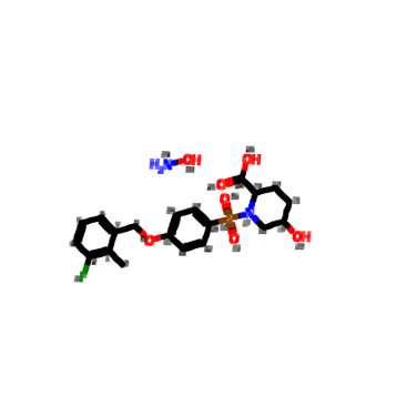 Cc1c(F)cccc1COc1ccc(S(=O)(=O)N2CC(O)CCC2C(=O)O)cc1.NO